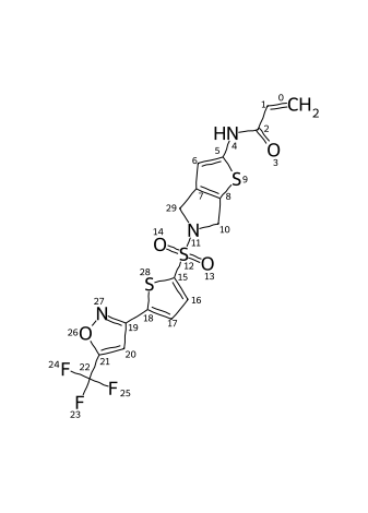 C=CC(=O)Nc1cc2c(s1)CN(S(=O)(=O)c1ccc(-c3cc(C(F)(F)F)on3)s1)C2